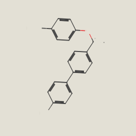 CC[C@@H](Oc1ccc(C(=O)O)cc1)c1ccc(-c2ccc(C(F)(F)F)cc2)cc1